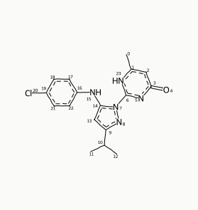 Cc1cc(=O)nc(-n2nc(C(C)C)cc2Nc2ccc(Cl)cc2)[nH]1